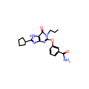 CCCn1c(Oc2cccc(C(N)=O)c2)nc2nc(C3CCCC3)[nH]c2c1=O